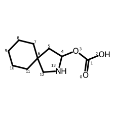 O=C(O)OC1CC2(CCCCC2)CN1